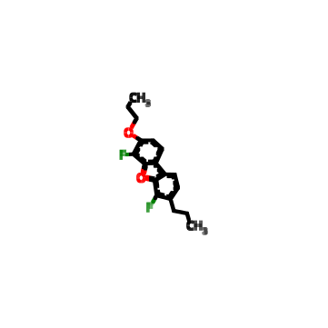 CCCOc1ccc2c(oc3c(F)c(CCC)ccc32)c1F